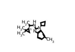 C=C(Nc1nc2ccc(C)cc2n1C1CCC1)[C@H]1CC1(C)C